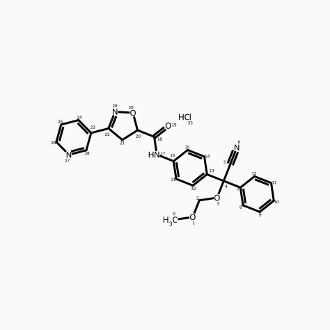 COCOC(C#N)(c1ccccc1)c1ccc(NC(=O)C2CC(c3cccnc3)=NO2)cc1.Cl